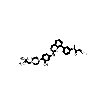 C=CC(=O)Nc1cccc(-c2cccc3cnc(Nc4ccc(N5CCN(CC(C)(C)O)CC5)c(C#N)c4)nc23)c1